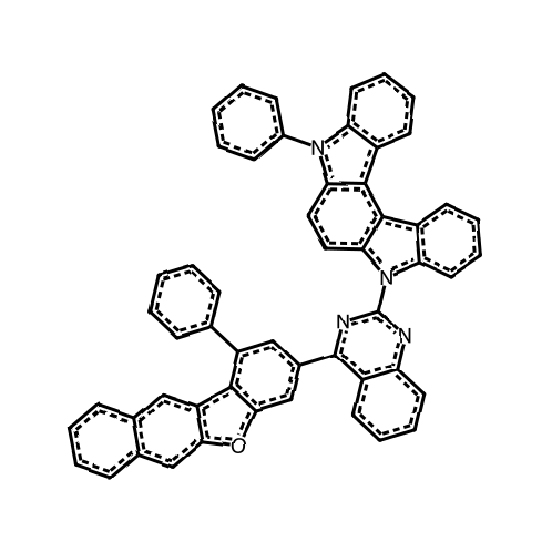 c1ccc(-c2cc(-c3nc(-n4c5ccccc5c5c6c7ccccc7n(-c7ccccc7)c6ccc54)nc4ccccc34)cc3oc4cc5ccccc5cc4c23)cc1